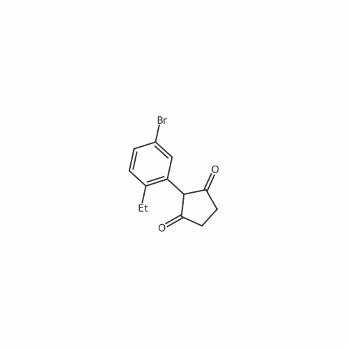 CCc1ccc(Br)cc1C1C(=O)CCC1=O